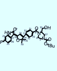 CC(C)(C)OC(=O)N1CCN(C(=O)c2ccc(C3=C/C(=C4\C(=O)Nc5cc(F)ccc54)OC3(C)C)cc2)C(CO)C1